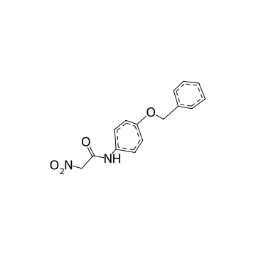 O=C(C[N+](=O)[O-])Nc1ccc(OCc2ccccc2)cc1